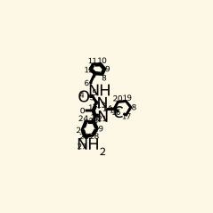 Cc1c(C(=O)NCc2ccccc2)nc(C2CCCCC2)nc1-c1ccc(N)cc1